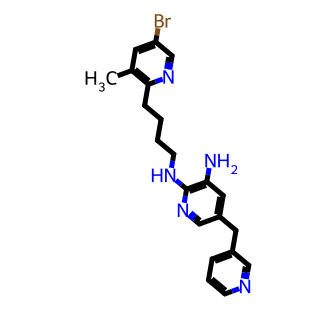 Cc1cc(Br)cnc1CCCCNc1ncc(Cc2cccnc2)cc1N